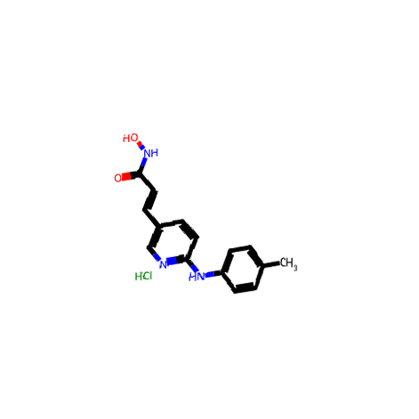 Cc1ccc(Nc2ccc(C=CC(=O)NO)cn2)cc1.Cl